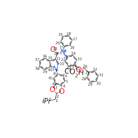 CC(C)CC1Oc2cc(C(=O)O)c(-n3cc(C(=O)N(c4ccccc4)c4ccc(OCc5ccccc5)cc4)c4ccccc43)cc2O1